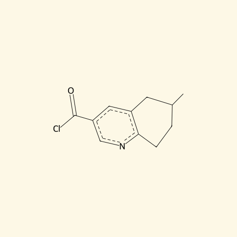 CC1CCc2ncc(C(=O)Cl)cc2C1